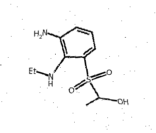 CCNc1c(N)cccc1S(=O)(=O)C(C)O